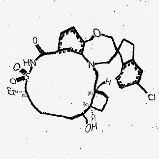 CC[C@H]1CCCCC(O)[C@@H]2CC[C@H]2CN2CC3(CCc4cc(Cl)ccc43)COc3ccc(cc32)C(=O)NS1(=O)=O